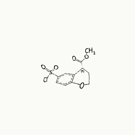 COC(=O)[C@@H]1CCOc2ccc(S(=O)(=O)Cl)cc21